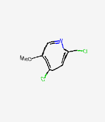 COc1cnc(Cl)cc1Cl